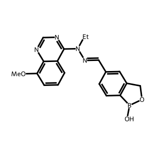 CCN(/N=C/c1ccc2c(c1)COB2O)c1ncnc2c(OC)cccc12